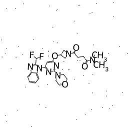 CN(C)C(=O)CCC(=O)N1CC(Oc2cc(-n3c(C(F)F)nc4ccccc43)nc(N3CCOCC3)n2)C1